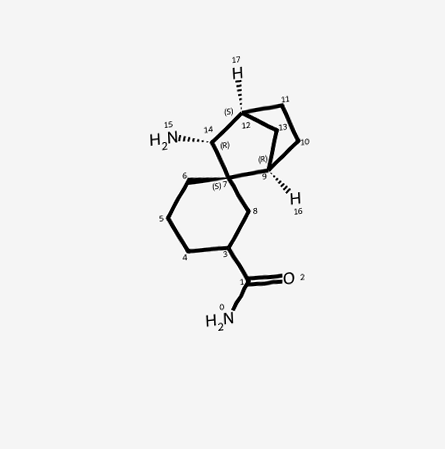 NC(=O)C1CCC[C@]2(C1)[C@@H]1CC[C@@H](C1)[C@H]2N